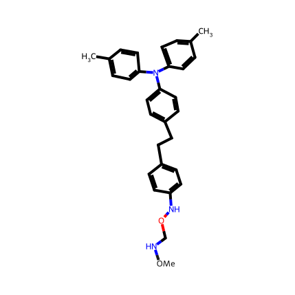 CONCONc1ccc(CCc2ccc(N(c3ccc(C)cc3)c3ccc(C)cc3)cc2)cc1